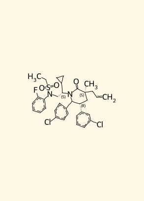 C=CC[C@@]1(C)C[C@H](c2cccc(Cl)c2)C(c2ccc(Cl)cc2)N([C@H](CN(c2ccccc2F)S(=O)(=O)CC)C2CC2)C1=O